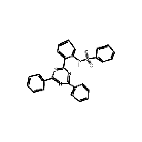 O=S(=O)(Nc1ccccc1-c1nc(-c2ccccc2)nc(-c2ccccc2)n1)c1ccccc1